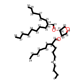 CCCCCCCCC(CCCCCC)CO[C@H]1COC[C@H]1OC[C@H](CCCCCC)CCCCCCCC